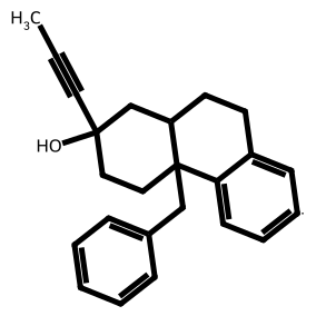 CC#CC1(O)CCC2(Cc3ccccc3)c3cc[c]cc3CCC2C1